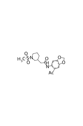 CC(=O)c1cc2c(cc1NC(=O)CC1CCCN(S(C)(=O)=O)C1)OCO2